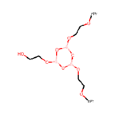 CCCOCCOB1OB(OCCO)OB(OCCOCCC)O1